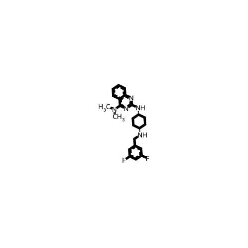 CN(C)c1nc(N[C@H]2CC[C@@H](NCc3cc(F)cc(F)c3)CC2)nc2ccccc12